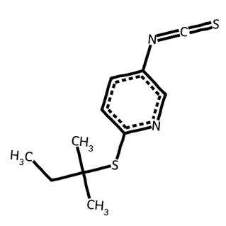 CCC(C)(C)Sc1ccc(N=C=S)cn1